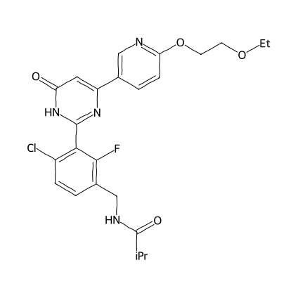 CCOCCOc1ccc(-c2cc(=O)[nH]c(-c3c(Cl)ccc(CNC(=O)C(C)C)c3F)n2)cn1